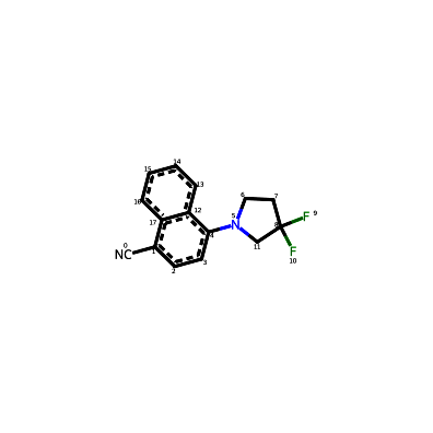 N#Cc1ccc(N2CCC(F)(F)C2)c2ccccc12